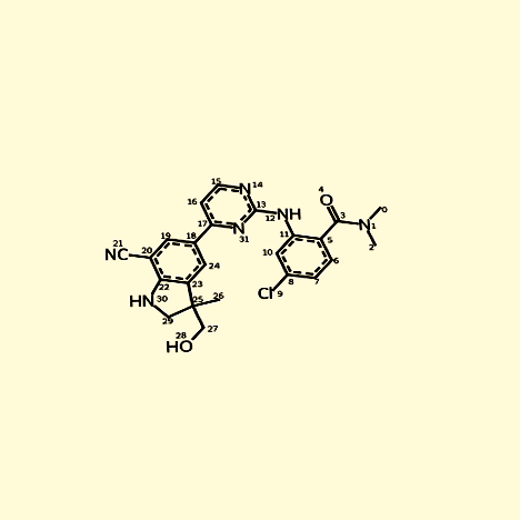 CN(C)C(=O)c1ccc(Cl)cc1Nc1nccc(-c2cc(C#N)c3c(c2)C(C)(CO)CN3)n1